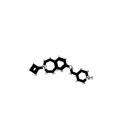 C1=CC(N2CCc3ccc(OCC4CCNCC4)cc3CC2)=C1